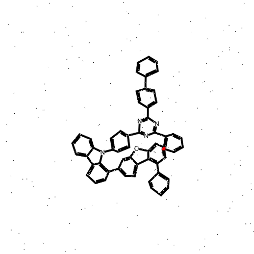 c1ccc(-c2ccc(-c3nc(-c4ccccc4)nc(-c4ccc(-n5c6ccccc6c6cccc(-c7ccc8c(c7)oc7cccc(-c9ccccc9)c78)c65)cc4)n3)cc2)cc1